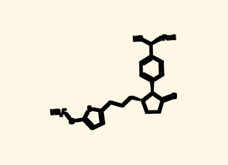 CCCCC[C@H](O)c1ccc([C@H]2C(=O)CC[C@@H]2CCCc2ccc(OC(=O)O)s2)cc1